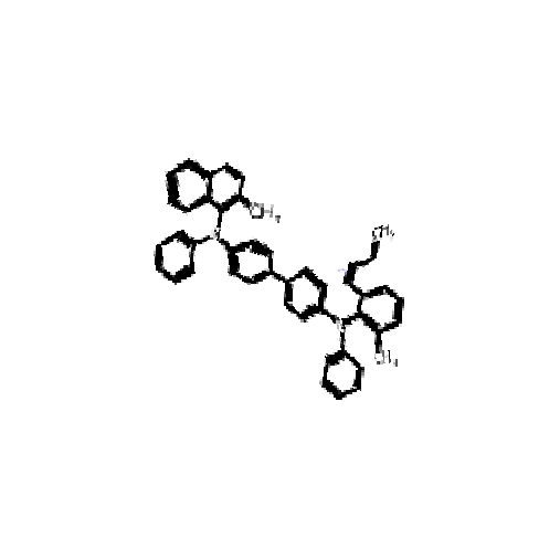 C=C/C=C\c1cccc(C)c1N(c1ccccc1)c1ccc(-c2ccc(N(c3ccccc3)c3c(C)ccc4ccccc34)cc2)cc1